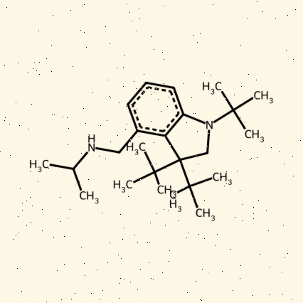 CC(C)NCc1cccc2c1C(C(C)(C)C)(C(C)(C)C)CN2C(C)(C)C